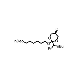 CCCCCCCCCCCCCCCCOC1(C(CC)CCCC)OCC(=O)CO1